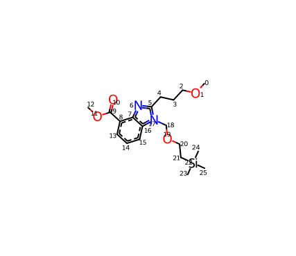 COCCCc1nc2c(C(=O)OC)cccc2n1COCC[Si](C)(C)C